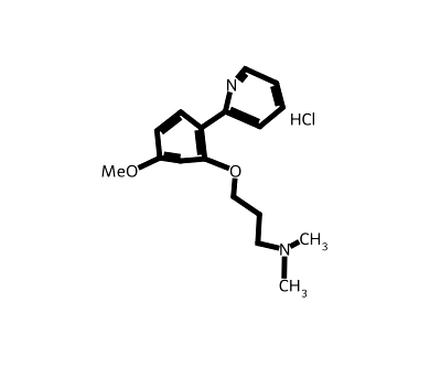 COc1ccc(-c2ccccn2)c(OCCCN(C)C)c1.Cl